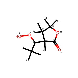 CC(C)(C)C(OO)C1(C)C(=O)OC(C)(C)C1(C)C